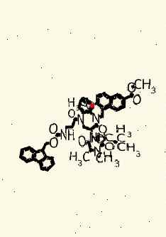 COC(=O)c1ccc2c(CN3C(=O)[C@@H](NC(=O)C(C)N(C)C(=O)OC(C)(C)C)CN(C(=O)CCNC(=O)OCC4c5ccccc5-c5ccccc54)c4ccccc43)c(OC)ccc2c1